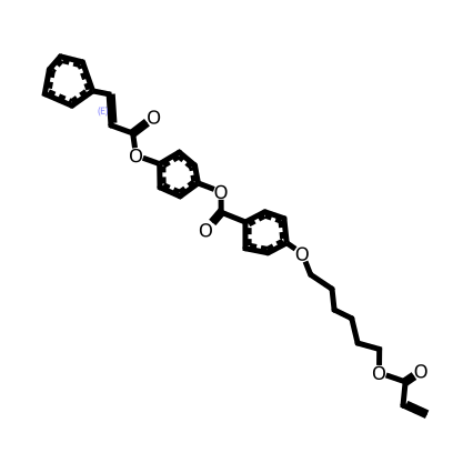 C=CC(=O)OCCCCCCOc1ccc(C(=O)Oc2ccc(OC(=O)/C=C/c3ccccc3)cc2)cc1